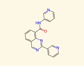 O=C(Nc1cccnc1)c1cccc2cnc(-c3cccnc3)nc12